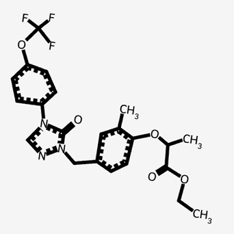 CCOC(=O)C(C)Oc1ccc(Cn2ncn(-c3ccc(OC(F)(F)F)cc3)c2=O)cc1C